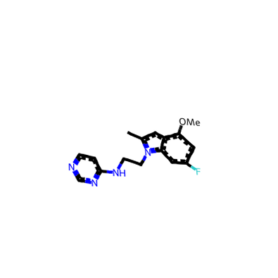 COc1cc(F)cc2c1cc(C)n2CCNc1ccncn1